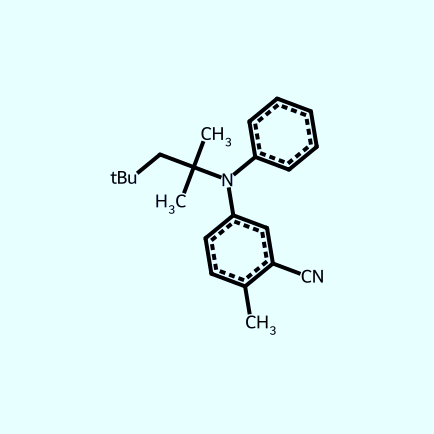 Cc1ccc(N(c2ccccc2)C(C)(C)CC(C)(C)C)cc1C#N